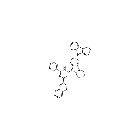 C1=C(c2ccc3ccccc3c2)N=C(c2ccccc2)NC1n1c2ccccc2c2cc(-n3c4ccccc4c4ccccc43)ccc21